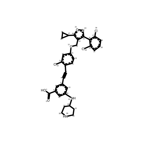 O=C(O)c1cc(C#Cc2ccc(OCc3c(-c4c(Cl)cccc4Cl)noc3C3CC3)cc2Cl)cc(NC2CCNCC2)c1